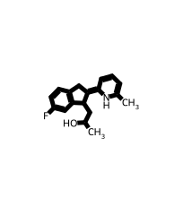 CC1=CC=C/C(=C2\Cc3ccc(F)cc3C2CC(C)O)N1